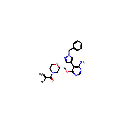 C=C(C#N)C(=O)N1CCO[C@H](COc2ncnc(N)c2-c2cnn(Cc3ccccc3)c2)C1